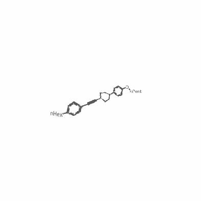 CCCCCCc1ccc(C#CC2CCC(c3ccc(OCCCCC)cc3)CC2)cc1